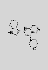 c1cnc2c(N3CCOCC3)nc(-c3n[nH]c4ccccc34)nc2c1